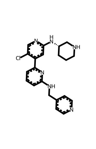 Clc1cnc(N[C@H]2CCCNC2)cc1-c1cccc(NCc2ccncc2)n1